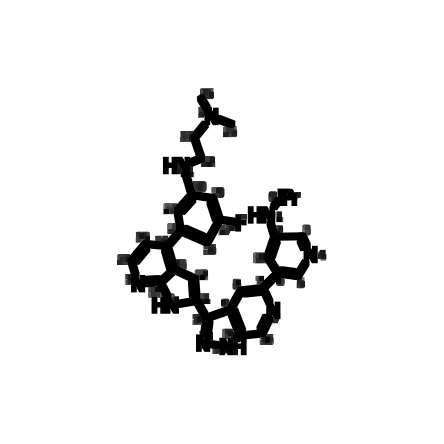 CC(C)Nc1cncc(-c2cc3c(-c4cc5c(-c6cc(F)cc(NCCN(C)C)c6)ccnc5[nH]4)n[nH]c3cn2)c1